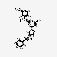 CCCc1cc(N2CC[C@H](NCc3ccccc3)C2)nc(Nc2cccc(C#N)c2)n1